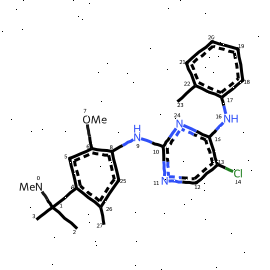 CNC(C)(C)c1cc(OC)c(Nc2ncc(Cl)c(Nc3ccccc3C)n2)cc1C